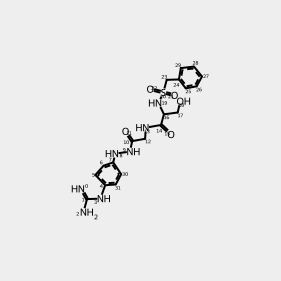 N=C(N)Nc1ccc(NNC(=O)CNC(=O)C(CO)NS(=O)(=O)Cc2ccccc2)cc1